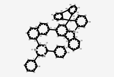 c1ccc(-c2nc(-c3ccccc3)nc(-c3cccc4ccc(-c5cc6c7c(c5)c5ccccc5n7-c5ccccc5C65c6ccccc6-c6ccccc65)cc34)n2)cc1